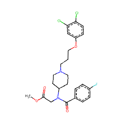 COC(=O)CN(C(=O)c1ccc(F)cc1)C1CCN(CCCOc2ccc(Cl)c(Cl)c2)CC1